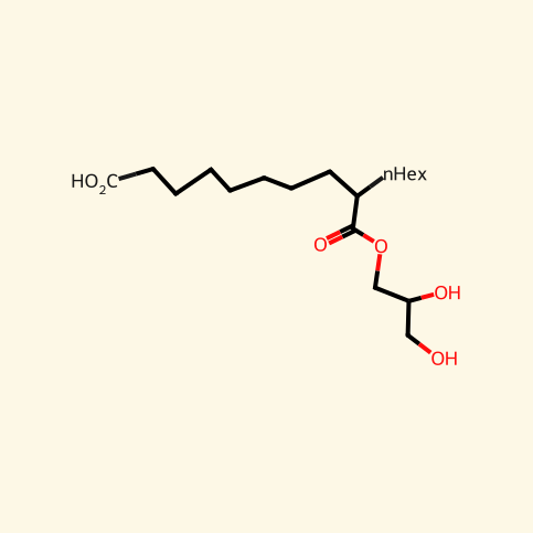 CCCCCCC(CCCCCCCC(=O)O)C(=O)OCC(O)CO